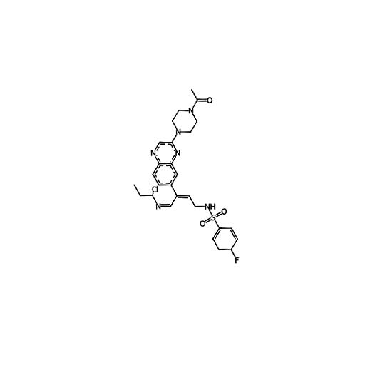 CCC(Cl)/N=C\C(=C/CNS(=O)(=O)C1=CCC(F)C=C1)c1ccc2ncc(N3CCN(C(C)=O)CC3)nc2c1